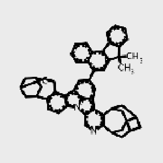 CC1(C)c2ccccc2-c2c1cc(-c1cc3c4c5c(ccc4n4c6cnc7c(c6c(c1)c34)C1CC3CC4CC7CC43C1)C1CC3CC(C1)CC5C3)c1ccccc21